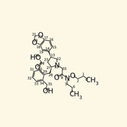 CCCON(CCC)C(=O)CN1C[C@H](c2ccc3c(c2)OCO3)[C@@H](C(=O)O)[C@@H]1Cc1ccccc1CO